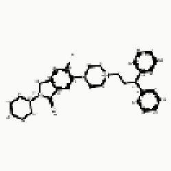 O=C1c2cc(N3CCN(CCC(c4ccccc4)c4ccccc4)CC3)c(F)cc2CN1C1CCCCC1